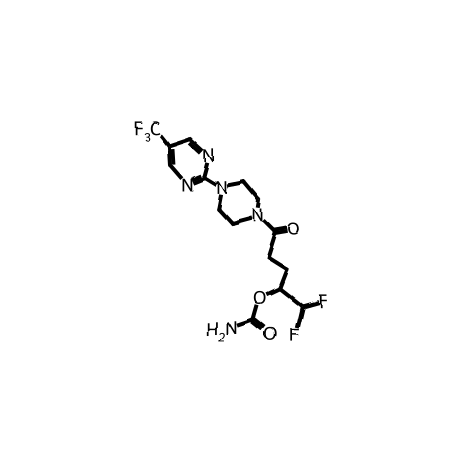 NC(=O)OC(CCC(=O)N1CCN(c2ncc(C(F)(F)F)cn2)CC1)C(F)F